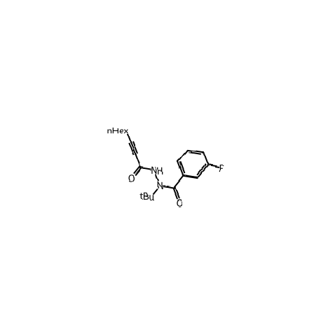 CCCCCCC#CC(=O)NN(C(=O)c1cccc(F)c1)C(C)(C)C